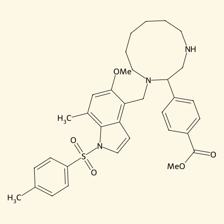 COC(=O)c1ccc(C2CNCCCCCCN2Cc2c(OC)cc(C)c3c2ccn3S(=O)(=O)c2ccc(C)cc2)cc1